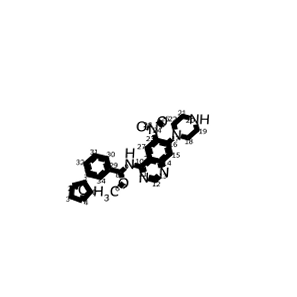 C1CC2CC1O2.COC(Nc1ncnc2cc(N3CCNCC3)c([N+](=O)[O-])cc12)c1ccccc1